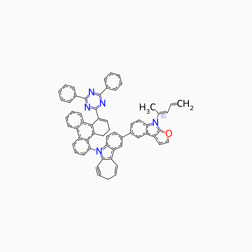 C=C/C=C(\C)n1c2ccc(-c3ccc4c(c3)c3c(n4-c4cccc5c4c4c(c6ccccc65)C(c5nc(-c6ccccc6)nc(-c6ccccc6)n5)=CCC4)C#CCC=C3)cc2c2ccoc21